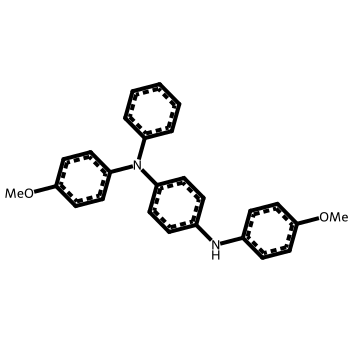 COc1ccc(Nc2ccc(N(c3ccccc3)c3ccc(OC)cc3)cc2)cc1